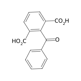 O=C(O)c1cccc(C(=O)O)c1C(=O)c1ccccc1